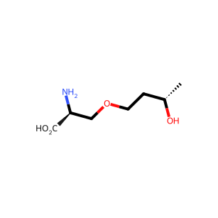 C[C@H](O)CCOC[C@H](N)C(=O)O